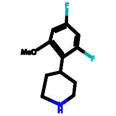 COc1cc(F)cc(F)c1C1CCNCC1